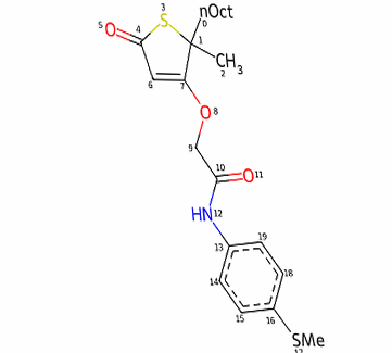 CCCCCCCCC1(C)SC(=O)C=C1OCC(=O)Nc1ccc(SC)cc1